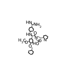 COc1cc(C(Nc2ccc(C(=N)N)cc2)C(=O)N(CCc2ccccn2)CC(=O)O)ccc1OCc1ccccc1